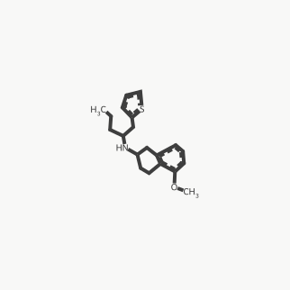 CCCC(Cc1cccs1)NC1CCc2c(cccc2OC)C1